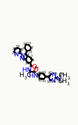 CC(NC(=O)c1ccc2c(C3CCCCC3)n(-c3ccccn3)nc2c1)C(=O)Nc1ccc(-c2cnc(N(C)C)nc2)cc1